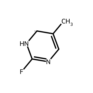 CC1=CN=C(F)N[CH]1